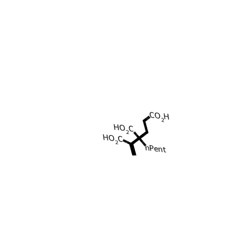 C=C(C(=O)O)C(CCCCC)(CCC(=O)O)C(=O)O